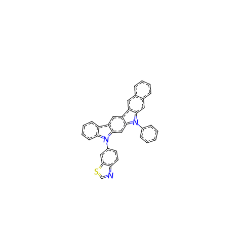 c1ccc(-n2c3cc4ccccc4cc3c3cc4c5ccccc5n(-c5ccc6ncsc6c5)c4cc32)cc1